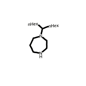 CCCCCCC(CCCCCC)N1CCCNCC1